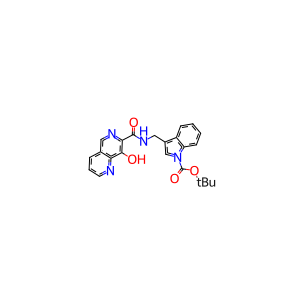 CC(C)(C)OC(=O)n1cc(CNC(=O)c2ncc3cccnc3c2O)c2ccccc21